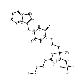 CCCCCC(=O)NC(N)(CCC[C@@H]1NC(=O)[C@H](Cc2c[nH]c3ccccc23)NC1=O)C(=O)OC(C)(C)C